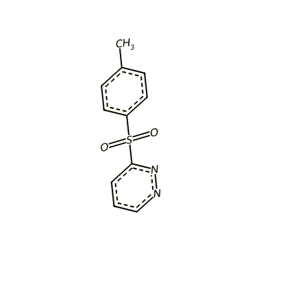 Cc1ccc(S(=O)(=O)c2cccnn2)cc1